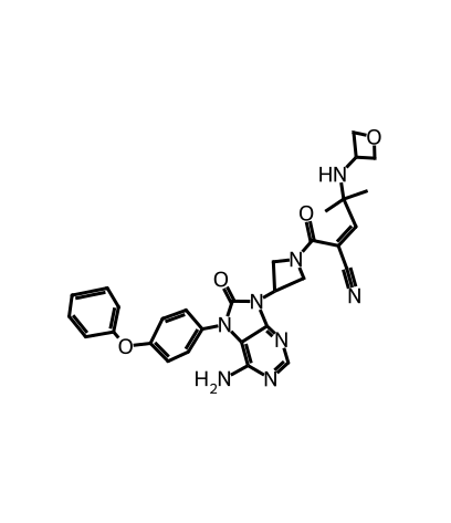 CC(C)(/C=C(/C#N)C(=O)N1CC(n2c(=O)n(-c3ccc(Oc4ccccc4)cc3)c3c(N)ncnc32)C1)NC1COC1